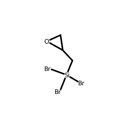 Br[Si](Br)(Br)CC1CO1